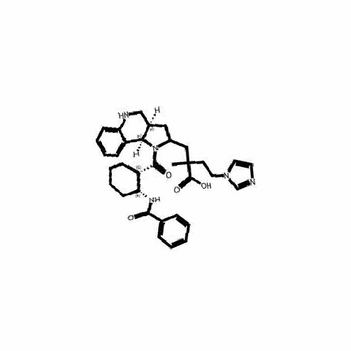 CC(CCn1ccnc1)(CC1C[C@@H]2CNc3ccccc3[C@@H]2N1C(=O)[C@H]1CCCC[C@H]1NC(=O)c1ccccc1)C(=O)O